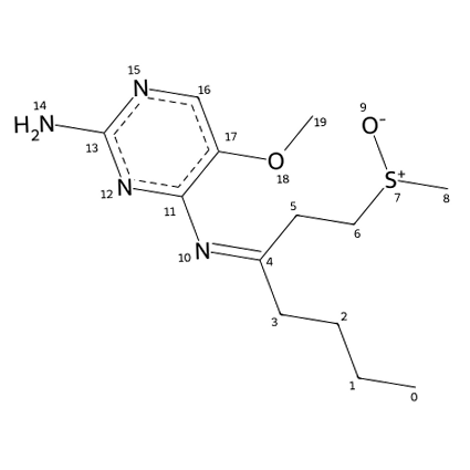 CCCC/C(CC[S+](C)[O-])=N/c1nc(N)ncc1OC